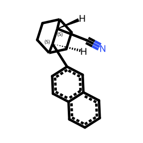 N#C[C@H]1C2CCC(CC2)[C@@H]1c1ccc2ccccc2c1